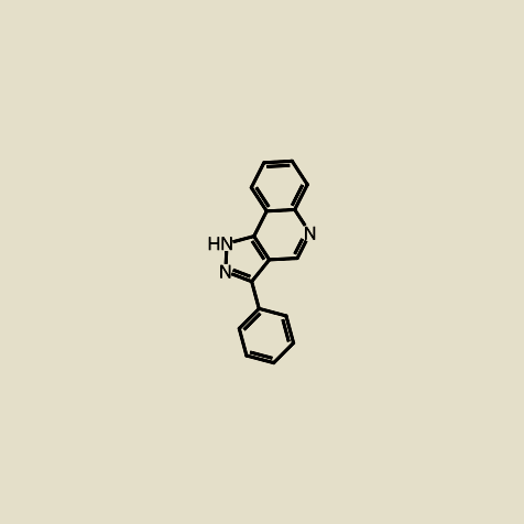 c1ccc(-c2n[nH]c3c2cnc2ccccc23)cc1